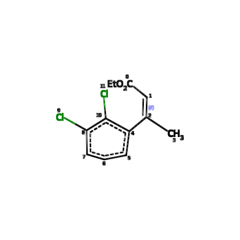 CCOC(=O)/C=C(/C)c1cccc(Cl)c1Cl